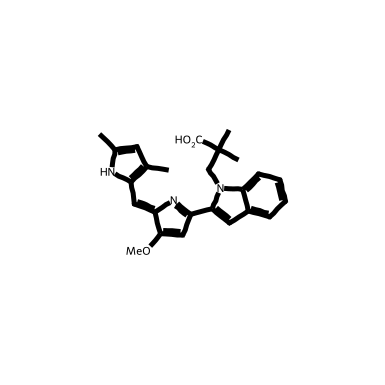 COC1=CC(c2cc3ccccc3n2CC(C)(C)C(=O)O)=NC1=Cc1[nH]c(C)cc1C